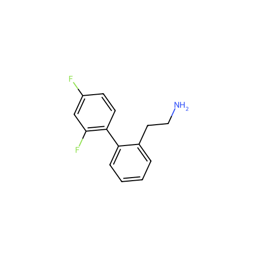 NCCc1ccccc1-c1ccc(F)cc1F